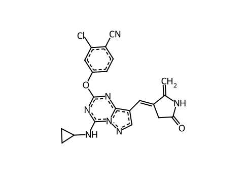 C=C1NC(=O)C/C1=C\c1cnn2c(NC3CC3)nc(Oc3ccc(C#N)c(Cl)c3)nc12